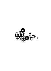 CC(=O)Nc1ccc2c(c1)NC(c1c(O)c3cccnc3n(Cc3ccccc3)c1=O)=NS2(=O)=O